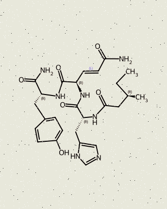 CC[C@@H](C)CC(=O)N[C@H](Cc1cnc[nH]1)C(=O)N[C@H](/C=C/C(N)=O)C(=O)N[C@H](Cc1ccc(O)cc1)C(N)=O